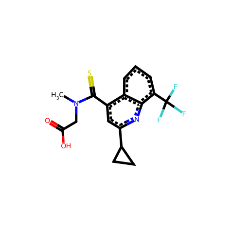 CN(CC(=O)O)C(=S)c1cc(C2CC2)nc2c(C(F)(F)F)cccc12